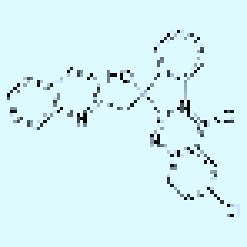 O=c1c2cc(Cl)ccc2nc2n1-c1ccccc1C2(O)Cc1ccc2ccccc2n1